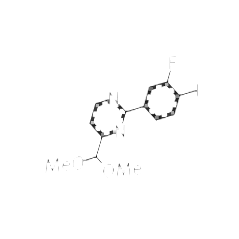 COC(OC)c1ccnc(-c2ccc(I)c(F)c2)n1